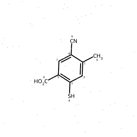 Cc1cc(S)c(C(=O)O)cc1C#N